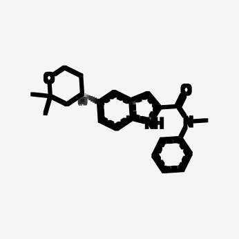 CN(C(=O)c1cc2cc([C@H]3CCOC(C)(C)C3)ccc2[nH]1)c1ccccc1